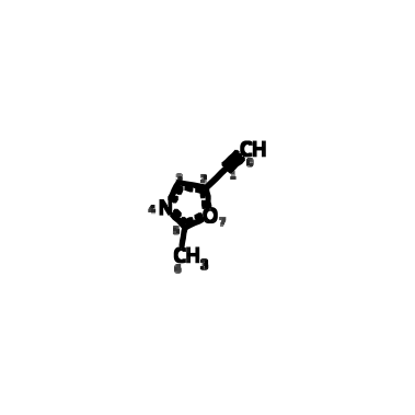 C#Cc1cnc(C)o1